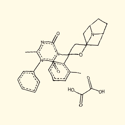 Cc1ccccc1COC1CC2CCC(C1)N2CCCn1c(=O)nc(C)n(-c2ccccc2)c1=O.O=C(O)C(=O)O